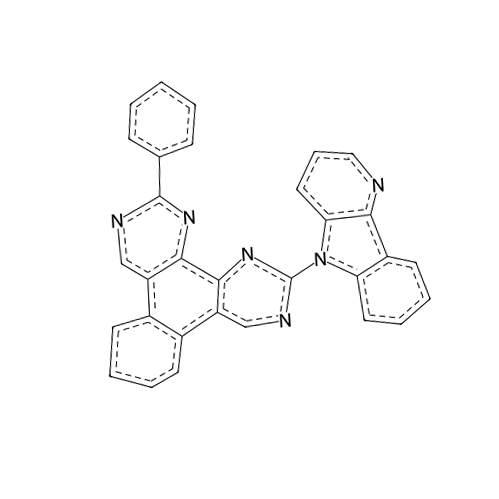 c1ccc(-c2ncc3c4ccccc4c4cnc(-n5c6ccccc6c6ncccc65)nc4c3n2)cc1